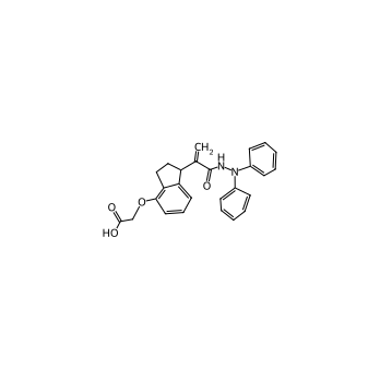 C=C(C(=O)NN(c1ccccc1)c1ccccc1)C1CCc2c(OCC(=O)O)cccc21